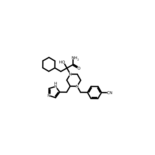 N#Cc1ccc(CN2CCN(C(O)(CC3CCCCC3)C(N)=O)CC2Cc2cnc[nH]2)cc1